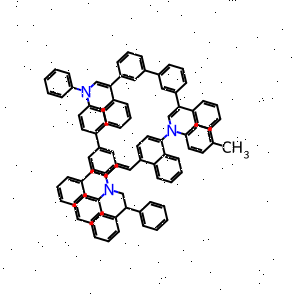 Cc1ccc(N(/C=C(\c2ccccc2)c2cccc(-c3cccc(/C(=C/N(c4ccccc4)c4ccc(-c5ccc(N(CC(c6ccccc6)c6ccccc6)c6ccccc6)cc5)cc4)c4ccccc4)c3)c2)c2ccc(/C=C/C=C/c3ccccc3)c3ccccc23)cc1